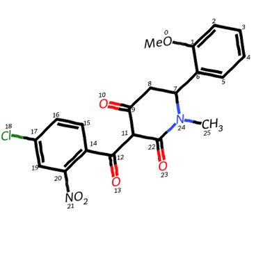 COc1ccccc1C1CC(=O)C(C(=O)c2ccc(Cl)cc2[N+](=O)[O-])C(=O)N1C